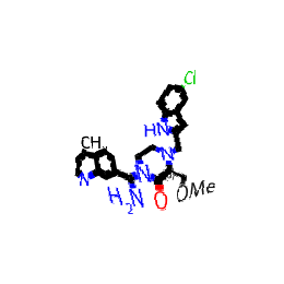 COC[C@H]1C(=O)N(C(N)c2ccc3c(C)ccnc3c2)CCN1Cc1cc2cc(Cl)ccc2[nH]1